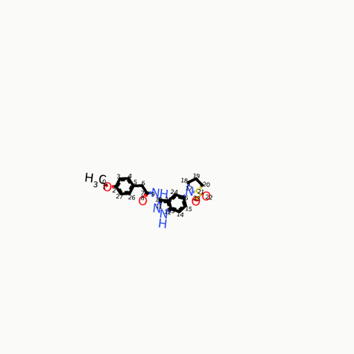 COc1ccc(CC(=O)Nc2n[nH]c3ccc(N4CCCS4(=O)=O)cc23)cc1